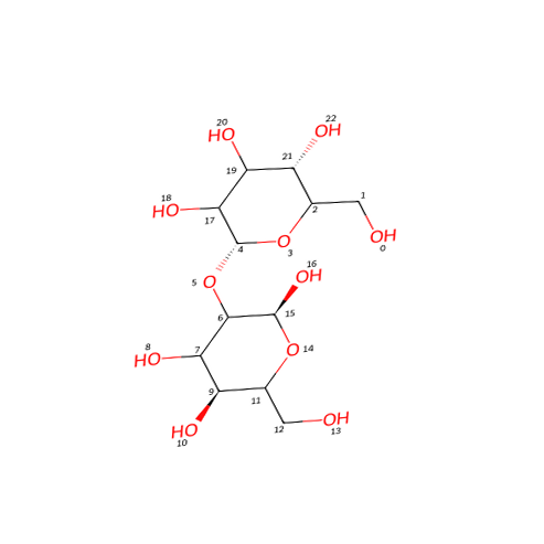 OCC1O[C@H](OC2C(O)[C@H](O)C(CO)O[C@@H]2O)C(O)C(O)[C@@H]1O